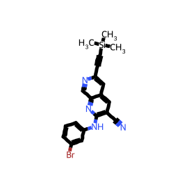 C[Si](C)(C)C#Cc1cc2cc(C#N)c(Nc3cccc(Br)c3)nc2cn1